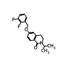 CC(C)N1CCc2cc(OCc3cccc(F)c3F)ccc2C1=O